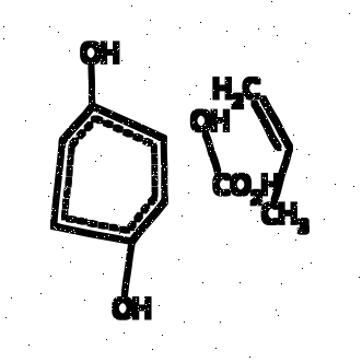 C=CC.O=C(O)O.Oc1ccc(O)cc1